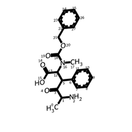 CC(N)C(=O)C(c1ccccc1)C(C(=O)O)N(C)C(=O)OCc1ccccc1